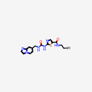 CC(C)CCNC(=O)c1cnc(NC(=O)NCc2ccn3ccnc3c2)s1